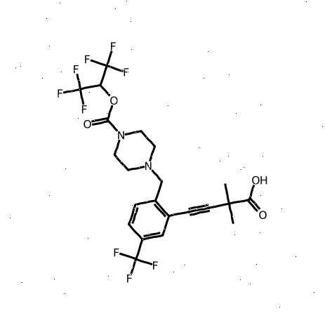 CC(C)(C#Cc1cc(C(F)(F)F)ccc1CN1CCN(C(=O)OC(C(F)(F)F)C(F)(F)F)CC1)C(=O)O